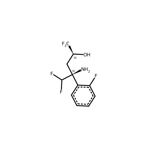 N[C@@](C[C@H](O)C(F)(F)F)(c1ccccc1F)C(F)F